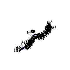 CC(=O)c1ccccc1.C[C@@H]1C[C@@H]2O[C@@H]3[C@@H](C)[C@H](O)[C@@H]4O[C@]5(C[C@H](O)CO5)[C@@H](C)[C@H](C)[C@H]4O[C@H]3C[C@H]2O[C@H]2C[C@H]3O[C@H]4C/C=C\C[C@H]5O[C@H]6C=C[C@H]7O[C@H]8[C@H](O)[C@H]9O[C@@H](/C=C/[C@H](O)CO)C=CC[C@@H]9O[C@@H]8C[C@@H]7O[C@@H]6C=C[C@@H]5O[C@@H]4C[C@@H](O)[C@]3(C)O[C@@H]2C1